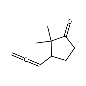 C=C=CC1CCC(=O)C1(C)C